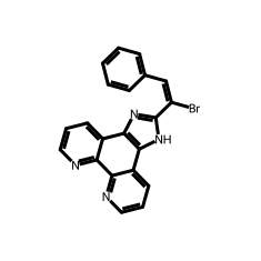 Br/C(=C/c1ccccc1)c1nc2c3cccnc3c3ncccc3c2[nH]1